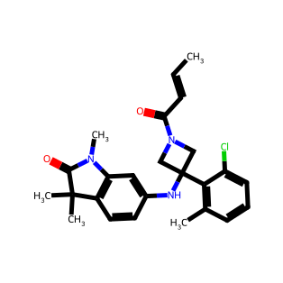 C/C=C/C(=O)N1CC(Nc2ccc3c(c2)N(C)C(=O)C3(C)C)(c2c(C)cccc2Cl)C1